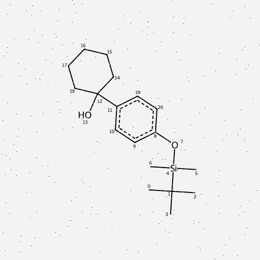 CC(C)(C)[Si](C)(C)Oc1ccc(C2(O)CCCCC2)cc1